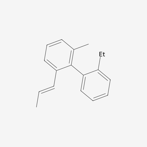 CC=Cc1cccc(C)c1-c1ccccc1CC